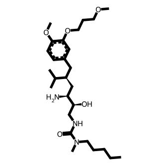 CCCCCN(C)C(=O)NC[C@H](O)[C@@H](N)C[C@H](Cc1ccc(OC)c(OCCCOC)c1)C(C)C